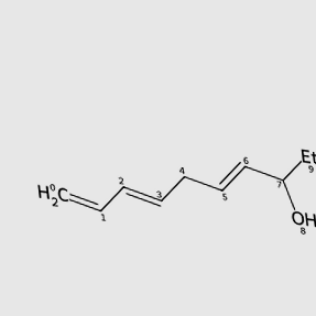 C=CC=CCC=CC(O)CC